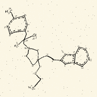 CCOCC1(CCc2cc3cnccc3s2)CCN(C(C)(C)c2ccc(C)nc2)C1